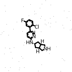 Fc1ccc(Cl)c(-c2ccc(N[C@@H]3C[C@H]4CNC[C@H]4C3)nn2)c1